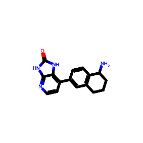 NC1CCCc2cc(-c3ccnc4[nH]c(=O)[nH]c34)ccc21